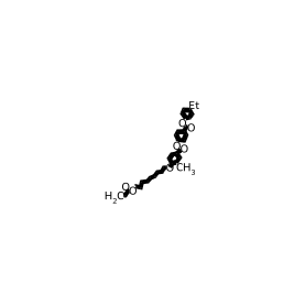 C=CC(=O)OCCCCCCCCCOc1ccc(C(=O)Oc2ccc(C(=O)Oc3ccc(CC)cc3)cc2)cc1C